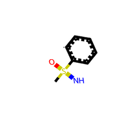 CS(=N)(=O)c1[c]cccc1